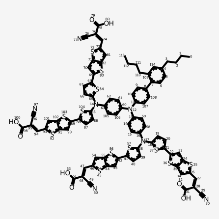 CCCCc1ccc(-c2ccc(N(c3ccc(N(c4ccc(-c5cc6sc(/C=C(/C#N)C(=O)O)cc6s5)s4)c4ccc(-c5cc6sc(/C=C(\C#N)C(=O)O)cc6s5)s4)cc3)c3ccc(N(c4ccc(-c5cc6sc(/C=C(\C#N)C(=O)O)cc6s5)s4)c4ccc(-c5cc6sc(/C=C(\C#N)C(=O)O)cc6s5)s4)cc3)cc2)c(CCCC)c1